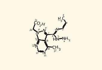 C/C=C\N=C(/NN)c1nn(CC(=O)O)c2ncnc(C)c12